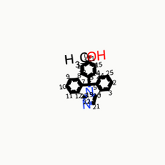 CO.c1ccc(C(c2ccccc2)(c2ccccc2)n2ccnc2)cc1